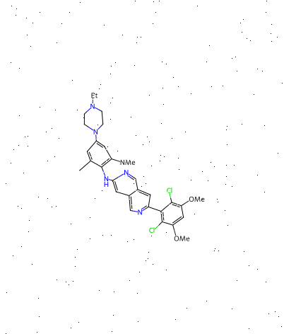 CCN1CCN(c2cc(C)c(Nc3cc4cnc(-c5c(Cl)c(OC)cc(OC)c5Cl)cc4cn3)c(NC)c2)CC1